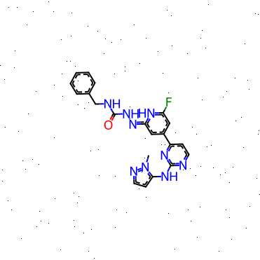 Cn1nccc1Nc1nccc(-c2cc(F)[nH]/c(=N\NC(=O)NCc3ccccc3)c2)n1